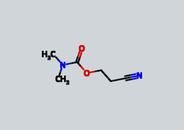 CN(C)C(=O)OCCC#N